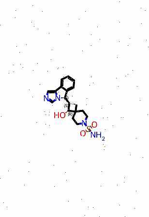 NS(=O)(=O)N1CCC2(CC1)C[C@@H]([C@H]1c3ccccc3-c3cncn31)[C@H]2O